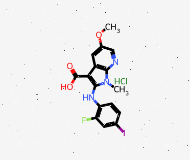 COc1cnc2c(c1)c(C(=O)O)c(Nc1ccc(I)cc1F)n2C.Cl